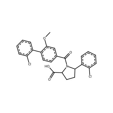 COc1cc(C(=O)N2C(C(=O)O)CCC2c2ccccc2Cl)ccc1-c1ccccc1Cl